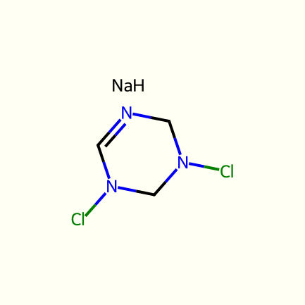 ClN1C=NCN(Cl)C1.[NaH]